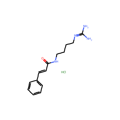 Cl.NC(N)=NCCCCNC(=O)/C=C/c1ccccc1